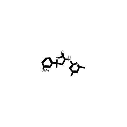 COc1cccc(C2(C)CC(Nc3cc(C)cc(C)n3)C(=O)O2)c1